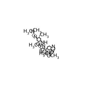 CCc1cc(Nc2ncc(Br)c(Nc3ccc4nccnc4c3N(C)S(C)(=O)=O)n2)c(OC)cc1N1CCC(N(C)C)C1